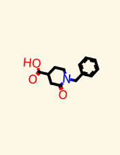 O=C(O)C1CCN(Cc2ccccc2)C(=O)C1